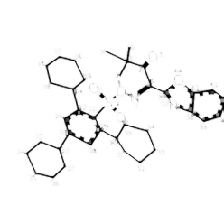 CC(C)(C)C(=O)/C(=N\OS(=O)(=O)c1c(C2CCCCC2)cc(C2CCCCC2)cc1C1CCCCC1)c1nc2ccccc2o1